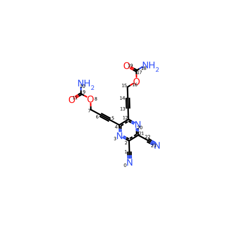 N#Cc1nc(C#CCOC(N)=O)c(C#CCOC(N)=O)nc1C#N